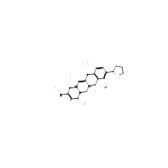 NC(=O)C1=C(O)[C@@H](N)[C@@H]2C[C@@H]3Cc4c(OC(F)(F)F)c(C5CCCN5)cc(O)c4C(=O)C3=C(O)[C@@H]2C1=O